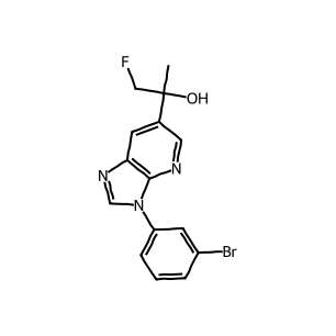 CC(O)(CF)c1cnc2c(c1)ncn2-c1cccc(Br)c1